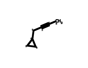 CC#CCC1CC1